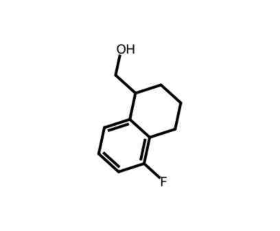 OCC1CCCc2c(F)cccc21